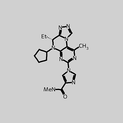 CC[C@@H]1c2nncn2-c2c(C)nc(-n3cnc(C(=O)NC)c3)nc2N1C1CCCC1